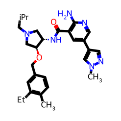 CCc1cc(CO[C@H]2CN(CC(C)C)C[C@@H]2NC(=O)c2cc(-c3cnn(C)c3)cnc2N)ccc1C